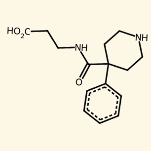 O=C(O)CCNC(=O)C1(c2ccccc2)CCNCC1